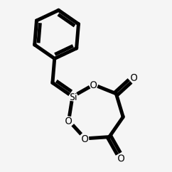 O=C1CC(=O)O[Si](=Cc2ccccc2)OO1